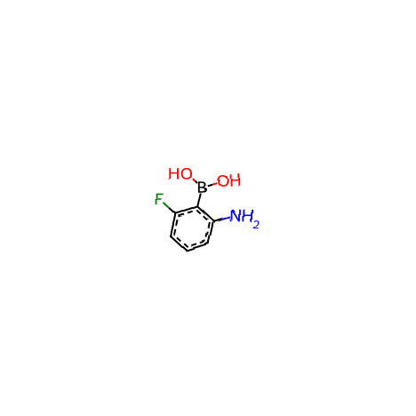 Nc1cccc(F)c1B(O)O